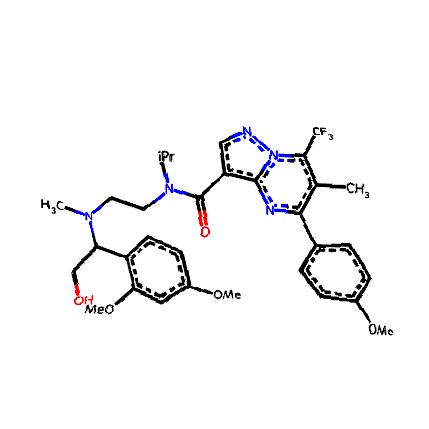 COc1ccc(-c2nc3c(C(=O)N(CCN(C)C(CO)c4ccc(OC)cc4OC)C(C)C)cnn3c(C(F)(F)F)c2C)cc1